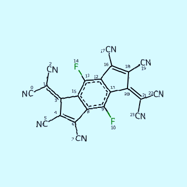 N#CC(C#N)=C1C(C#N)=C(C#N)c2c(F)c3c(c(F)c21)C(C#N)=C(C#N)C3=C(C#N)C#N